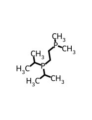 CC(C)P(CCP(C)C)C(C)C